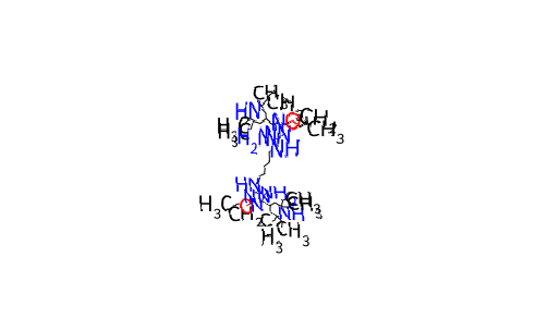 C=C(C)COC1=NC(NCCCCCCNC2N=C(OCC(=C)C)N=C(C3CC(CC)(CC)NC(CC)(CC)C3)N2N)N(N)C(C2CC(CC)(CC)NC(CC)(CC)C2)=N1